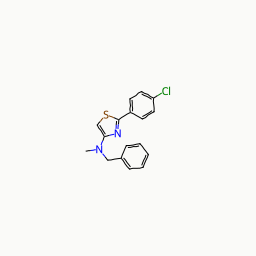 CN(Cc1ccccc1)c1csc(-c2ccc(Cl)cc2)n1